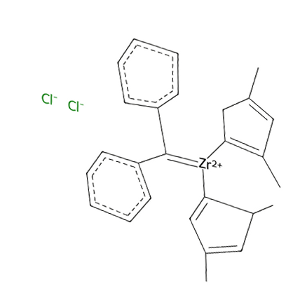 CC1=CC(C)[C]([Zr+2]([C]2=C(C)C=C(C)C2)=[C](c2ccccc2)c2ccccc2)=C1.[Cl-].[Cl-]